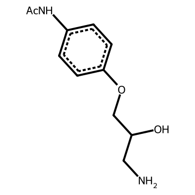 CC(=O)Nc1ccc(OCC(O)CN)cc1